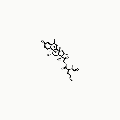 CSCCC(NC=O)C(=O)SCC(=O)[C@@]1(O)[C@H](C)C[C@H]2[C@@H]3CC(F)C4=CC(=O)C=C[C@]4(C)[C@@]3(F)[C@@H](O)C[C@@]21C